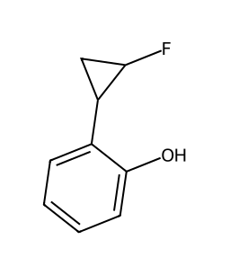 Oc1ccccc1C1CC1F